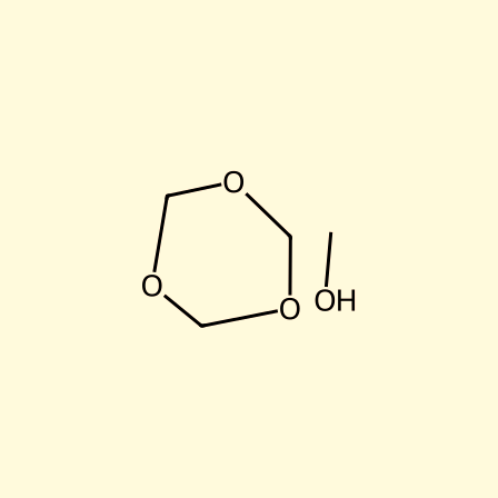 C1OCOCO1.CO